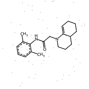 Cc1cccc(C)c1NC(=O)CN1CCCC2CCCC=C21